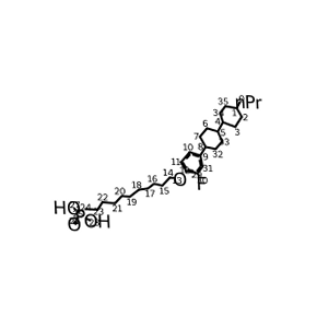 CCCC1CCC(C2CCC(c3ccc(OCCCCCCCCCCCP(=O)(O)O)c(F)c3)CC2)CC1